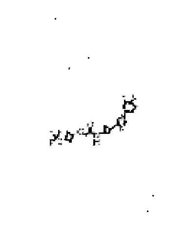 O=C(CO[C@H]1C[C@@H](OC(F)(F)F)C1)NC12CC(c3cn(-c4ccc(Cl)c(F)c4)cn3)(C1)C2